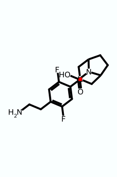 NCCc1cc(F)c(N2CC3CCC(C2)N3C(=O)O)cc1F